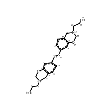 OCCN1COc2cc(SSc3ccc4c(c3)OCN(CCO)C4)ccc2C1